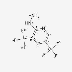 NNc1ncc(C(F)(F)F)cc1C(F)(F)F